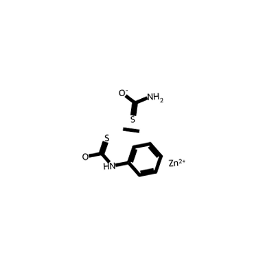 CC.NC([O-])=S.[O-]C(=S)Nc1ccccc1.[Zn+2]